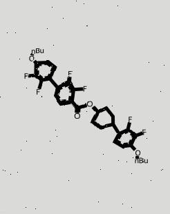 CCCCOc1ccc(-c2ccc(C(=O)OC3CCC(c4ccc(OCCCC)c(F)c4F)CC3)c(F)c2F)c(F)c1F